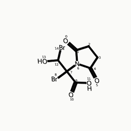 O=C1CCC(=O)N1C(Br)(C(=O)O)C(O)Br